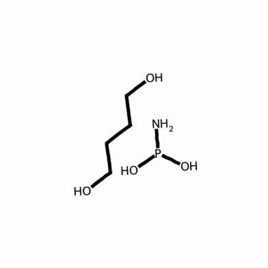 NP(O)O.OCCCCO